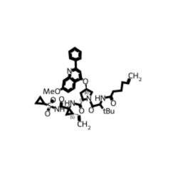 C=CCCCC(=O)NC(C(=O)N1C[C@H](Oc2cc(-c3ccccc3)nc3cc(OC)ccc23)C[C@H]1C(=O)N[C@]1(C(=O)NS(=O)(=O)C2CC2)C[C@H]1C=C)C(C)(C)C